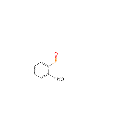 O=Cc1ccccc1P=O